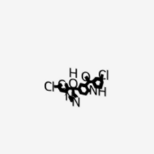 Cn1cncc1C(O)(C1=CCC(=N)C(C(=O)c2cccc(Cl)c2)=C1)c1ccc(Cl)cc1